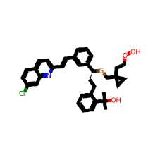 CC(C)(O)c1ccccc1CC[C@@H](SCC1(CCOO)CC1)c1cccc(/C=C/c2ccc3ccc(Cl)cc3n2)c1